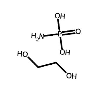 NP(=O)(O)O.OCCO